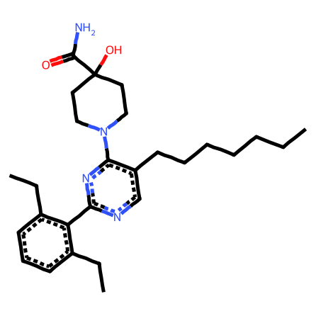 CCCCCCCc1cnc(-c2c(CC)cccc2CC)nc1N1CCC(O)(C(N)=O)CC1